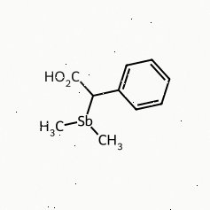 [CH3][Sb]([CH3])[CH](C(=O)O)c1ccccc1